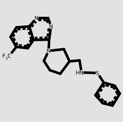 FC(F)(F)c1ccc2ncnc(N3CCCC(CNSc4ccccc4)C3)c2c1